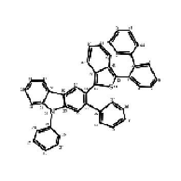 c1ccc(-c2ccccc2-c2sc(-c3cc4c5ccccc5n(-c5ccccc5)c4cc3-c3ccccc3)c3ccccc23)cc1